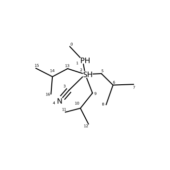 CP[SH](C#N)(CC(C)C)(CC(C)C)CC(C)C